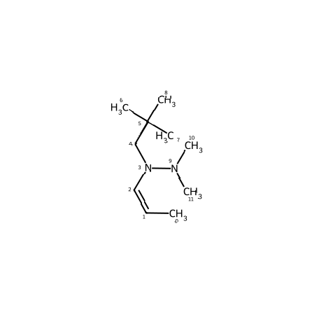 C/C=C\N(CC(C)(C)C)N(C)C